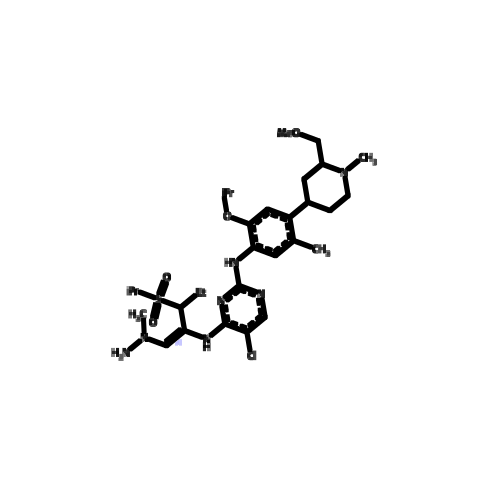 CCC(/C(=C\N(C)N)Nc1nc(Nc2cc(C)c(C3CCN(C)C(COC)C3)cc2OC(C)C)ncc1Cl)S(=O)(=O)C(C)C